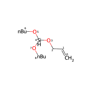 C=CCO[SiH](OCCCC)OCCCC